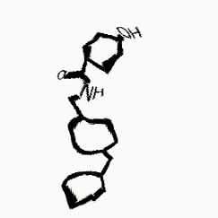 O=C(NCC1CCC(Cc2ccccc2)CC1)c1ccc(O)cc1